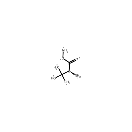 CC(C)(O)[C@H](N)C(=O)ON